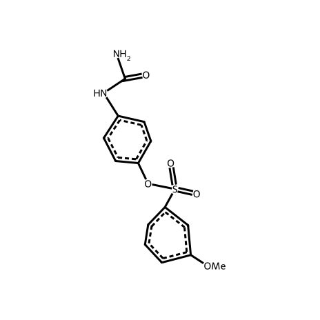 COc1cccc(S(=O)(=O)Oc2ccc(NC(N)=O)cc2)c1